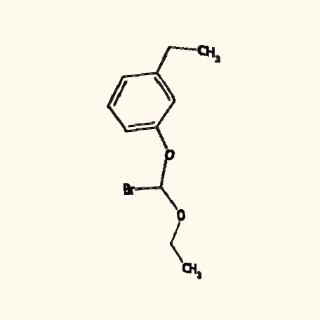 CCOC(Br)Oc1cccc(CC)c1